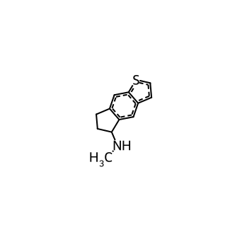 CNC1CCc2cc3sccc3cc21